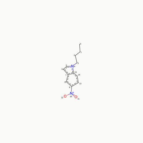 CCCCn1ccc2cc([N+](=O)[O-])ccc21